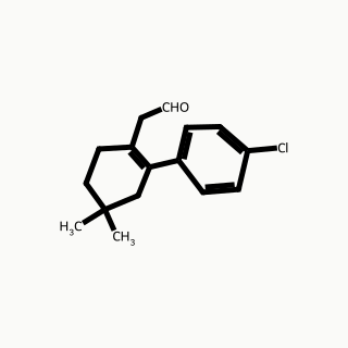 CC1(C)CCC(CC=O)=C(c2ccc(Cl)cc2)C1